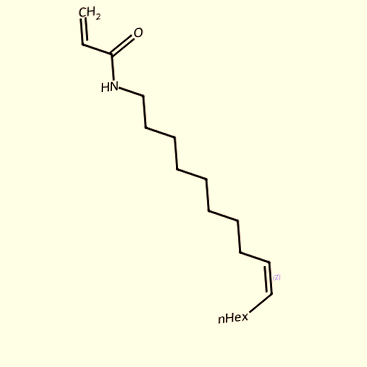 C=CC(=O)NCCCCCCCC/C=C\CCCCCC